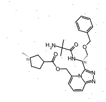 C[C@H]1CCC(C(=O)OCc2cccc3nnc([C@@H](COCc4ccccc4)NC(=O)C(C)(C)N)n23)C1